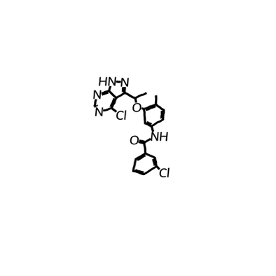 Cc1ccc(NC(=O)c2cccc(Cl)c2)cc1OC(C)c1n[nH]c2ncnc(Cl)c12